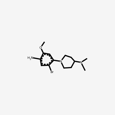 COc1cc(N2CCC(N(C)C)CC2)c(Br)cc1N